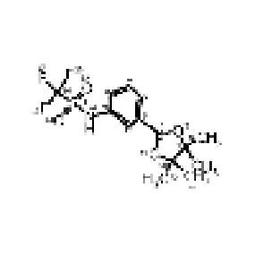 CC1(C)OB(c2cccc(NS(=O)(=O)C(F)(F)F)c2)OC1(C)C